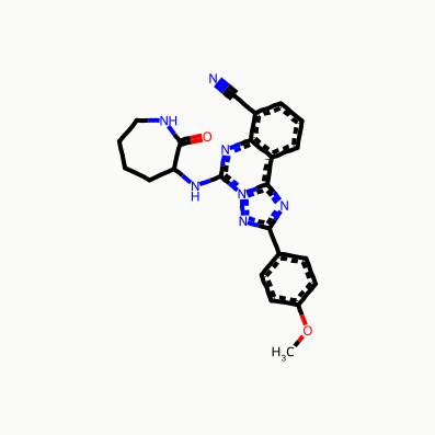 COc1ccc(-c2nc3c4cccc(C#N)c4nc(NC4CCCCNC4=O)n3n2)cc1